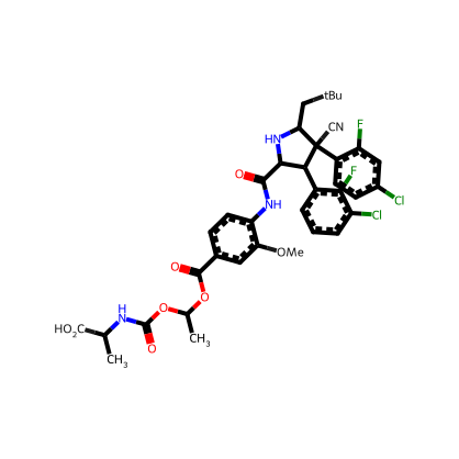 COc1cc(C(=O)OC(C)OC(=O)NC(C)C(=O)O)ccc1NC(=O)C1NC(CC(C)(C)C)C(C#N)(c2ccc(Cl)cc2F)C1c1cccc(Cl)c1F